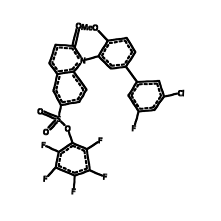 COc1ccc(-c2cc(F)cc(Cl)c2)cc1-n1c(=O)ccc2cc(S(=O)(=O)Oc3c(F)c(F)c(F)c(F)c3F)ccc21